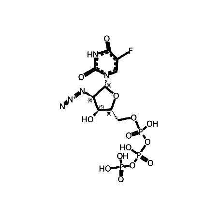 [N-]=[N+]=N[C@@H]1[C@H](O)[C@@H](COP(=O)(O)OP(=O)(O)OP(=O)(O)O)O[C@H]1n1cc(F)c(=O)[nH]c1=O